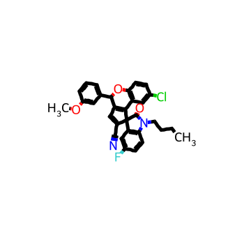 CCCCN1C(=O)C2(C(C#N)=CC3=C2c2cc(Cl)ccc2OC3c2cccc(OC)c2)c2cc(F)ccc21